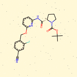 CC(C)(C)OC(=O)N1CCC[C@H]1C(=O)Nc1cccc(OCc2ccc(C#N)cc2F)n1